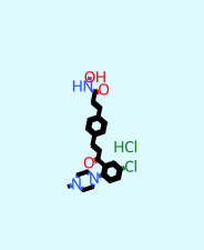 CN1CCN(c2ccc(Cl)cc2C(=O)/C=C/c2ccc(/C=C/C(=O)NO)cc2)CC1.Cl